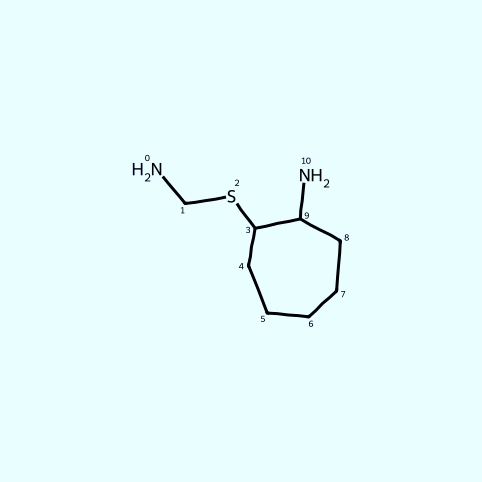 NCSC1CCCCCC1N